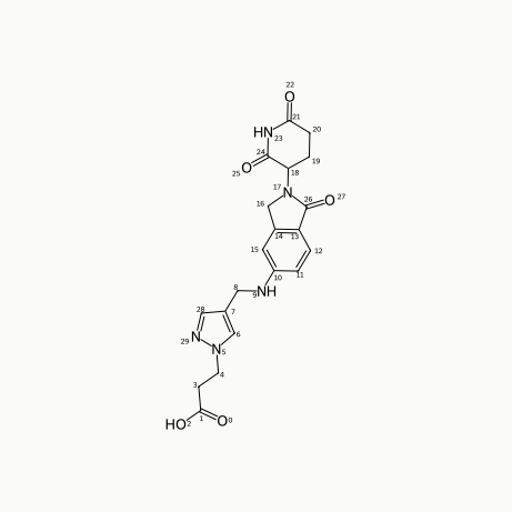 O=C(O)CCn1cc(CNc2ccc3c(c2)CN(C2CCC(=O)NC2=O)C3=O)cn1